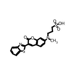 CN(CCCS(=O)(=O)O)c1ccc2cc(-c3nc4ccccc4s3)c(=O)oc2c1